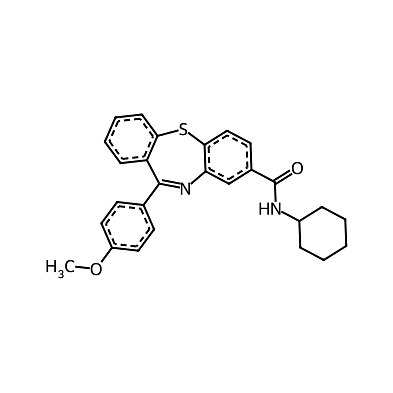 COc1ccc(C2=Nc3cc(C(=O)NC4CCCCC4)ccc3Sc3ccccc32)cc1